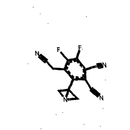 N#CCc1c(F)c(F)c(C#N)c(C#N)c1C12CN1C2